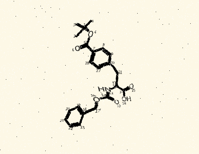 CC(C)(C)OC(=O)c1ccc(CC(NC(=O)OCc2ccccc2)C(=O)O)cc1